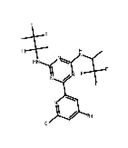 [2H]c1cc(Cl)nc(-c2nc(NC(C)C(F)(F)F)nc(NC([2H])(C)C(F)(F)F)n2)c1